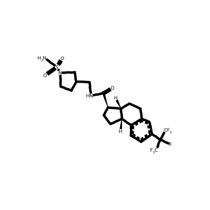 NS(=O)(=O)N1CCC(CNC(=O)[C@@H]2CC[C@H]3c4ccc(C(F)(C(F)(F)F)C(F)(F)F)cc4CC[C@@H]23)C1